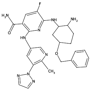 Cc1ncc(Nc2nc(NC3CC(OCc4ccccc4)CCC3N)c(F)cc2C(N)=O)cc1-n1nccn1